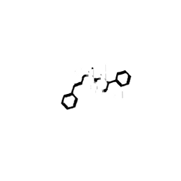 CN(C(=O)/C=C/c1ccccc1)C(=O)NC(C(=O)O)c1ccccc1